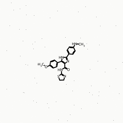 CNc1ccc(-c2nc(C(=O)NC3=NCCS3)c(-c3ccc(OC)cc3)[nH]2)cc1